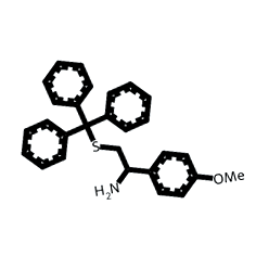 COc1ccc(C(N)CSC(c2ccccc2)(c2ccccc2)c2ccccc2)cc1